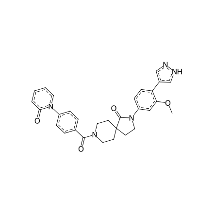 COc1cc(N2CCC3(CCN(C(=O)c4ccc(-n5ccccc5=O)cc4)CC3)C2=O)ccc1-c1cn[nH]c1